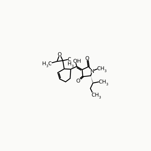 CCC(C)[C@@H]1C(=O)/C(=C(/O)C2CCC=CC2C2(C)OC2C)C(=O)N1C